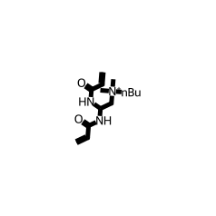 C=CC(=O)NC(C[N+](C)(C)CCCC)NC(=O)C=C